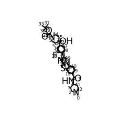 CN1CCC(NC(=O)c2ccc3c(c2)sc2nc(-c4ccc(C5(O)CCN(C(=O)OC(C)(C)C)CC5)cc4F)cn23)CC1